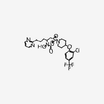 O=CN(O)C(CCCc1ncccn1)CS(=O)(=O)N1CCC(Oc2ccc(C(F)(F)F)cc2Cl)CC1